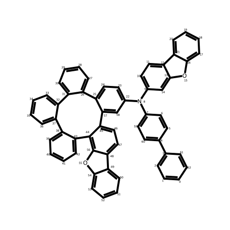 c1ccc(-c2ccc(N(c3ccc4c(c3)oc3ccccc34)c3ccc4c5ccccc5c5ccccc5c5ccccc5c5c(ccc6c7ccccc7oc65)c4c3)cc2)cc1